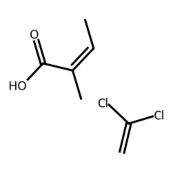 C=C(Cl)Cl.CC=C(C)C(=O)O